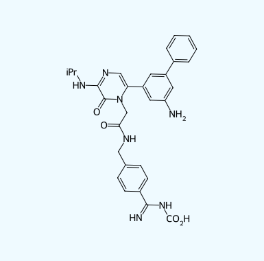 CC(C)Nc1ncc(-c2cc(N)cc(-c3ccccc3)c2)n(CC(=O)NCc2ccc(C(=N)NC(=O)O)cc2)c1=O